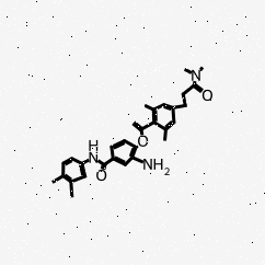 C=C(Oc1ccc(C(=O)Nc2ccc(C)c(C)c2)cc1N)c1c(C)cc(CCC(=O)N(C)C)cc1C